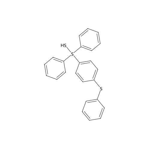 SS(c1ccccc1)(c1ccccc1)c1ccc(Sc2ccccc2)cc1